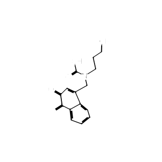 CCCCN(CC1=CC(=O)C(=O)c2ccccc21)C(C)=O